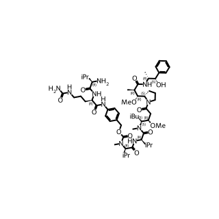 CC[C@H](C)[C@@H]([C@@H](CC(=O)N1CCC[C@H]1[C@H](OC)[C@@H](C)C(=O)N[C@H](C)[C@@H](O)c1ccccc1)OC)N(C)C(=O)[C@H](NC(=O)[C@@H](C(C)C)N(C)C(=O)OCc1ccc(NC(=O)[C@@H](CCCNC(N)=O)NC(=O)[C@H](N)C(C)C)cc1)C(C)C